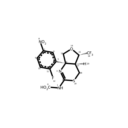 O=C(O)NC1=N[C@@]2(c3cc([N+](=O)[O-])ccc3F)CO[C@H](C(F)(F)F)[C@H]2CS1